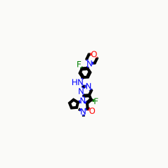 CN(C)C(=O)c1c(F)c2cnc(Nc3ccc(N4CCOCC4)c(F)c3)nc2n1C1CCCC1